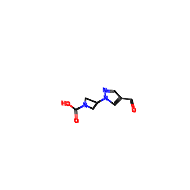 O=Cc1cnn(C2CN(C(=O)O)C2)c1